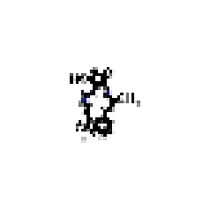 CCNC(=O)CCC/C=C\C[C@@H]1[C@@H](/C=C/[C@@H](C)CCc2ccccc2)[C@H](O)C[C@@H]1O